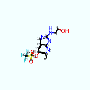 Cc1nc2nc(NCCO)ncc2cc1OS(=O)(=O)C(F)(F)F